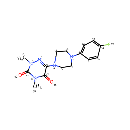 Cn1nc(N2CCN(c3ccc(F)cc3)CC2)c(=O)n(C)c1=O